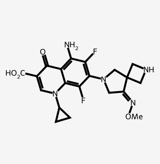 CON=C1CN(c2c(F)c(N)c3c(=O)c(C(=O)O)cn(C4CC4)c3c2F)CC12CNC2